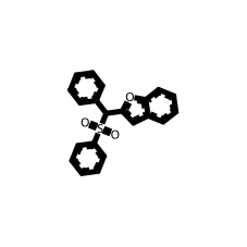 O=S(=O)(c1ccccc1)C(c1ccccc1)c1cc2ccccc2o1